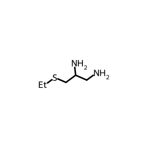 CCSCC(N)CN